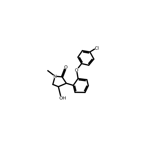 CN1CC(O)C(c2ccccc2Oc2ccc(Cl)cc2)C1=O